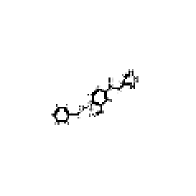 c1ccc(COn2ncc3cc(NCc4nn[nH]n4)ccc32)cc1